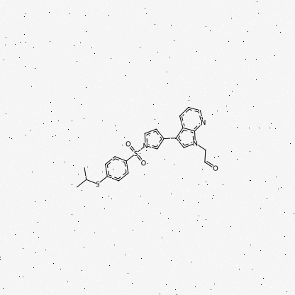 CC(C)Sc1ccc(S(=O)(=O)n2ccc(-c3cn(CC=O)c4ncccc34)c2)cc1